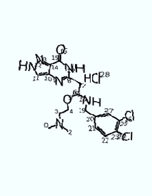 CN(C)CCO[C@@H](Cc1nc2c[nH]nc2c(=O)[nH]1)NCc1ccc(Cl)c(Cl)c1.Cl